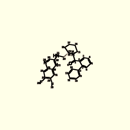 O=C(c1ccccc1-c1ccccc1)N1CCCC[C@H]1CNc1cnc2cc(F)c(F)cc2n1